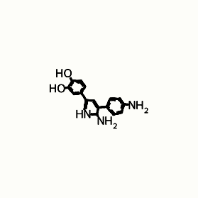 Nc1ccc(C2=CC(c3ccc(O)c(O)c3)=CNC2N)cc1